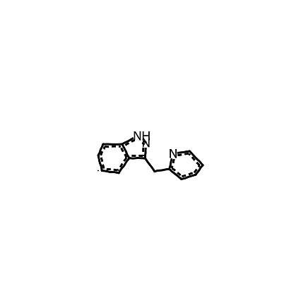 [c]1ccc2[nH]nc(Cc3ccccn3)c2c1